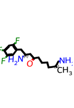 C[C@H](CN)CCCCC(=O)C[C@H](N)Cc1cc(F)c(F)cc1F